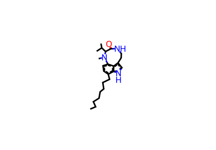 CCCCCCCCc1ccc2c3c(c[nH]c13)CCNC(=O)C(C(C)C)N2C